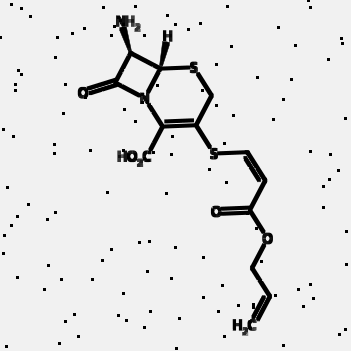 C=CCOC(=O)/C=C\SC1=C(C(=O)O)N2C(=O)[C@@H](N)[C@@H]2SC1